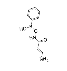 NC=CC(=O)NOB(O)c1ccccc1